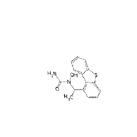 CC(c1cccc2sc3ccccc3c12)N(O)C(N)=O